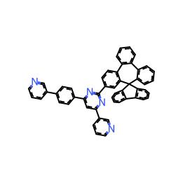 c1cncc(-c2ccc(-c3cc(-c4cccnc4)nc(-c4ccc5c(c4)C4(c6ccccc6-c6ccccc6-5)c5ccccc5-c5ccccc54)n3)cc2)c1